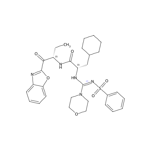 CC[C@H](NC(=O)[C@H](CC1CCCCC1)N/C(=N/S(=O)(=O)c1ccccc1)N1CCOCC1)C(=O)c1nc2ccccc2o1